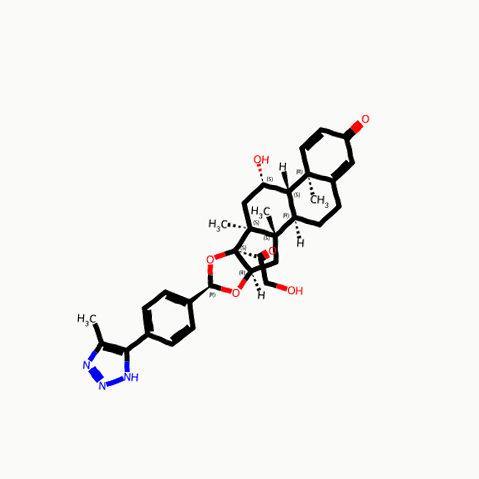 Cc1nn[nH]c1-c1ccc([C@@H]2O[C@@H]3C[C@@]4(C)[C@@H]5CCC6=CC(=O)C=C[C@]6(C)[C@H]5[C@@H](O)C[C@]4(C)[C@]3(C(=O)CO)O2)cc1